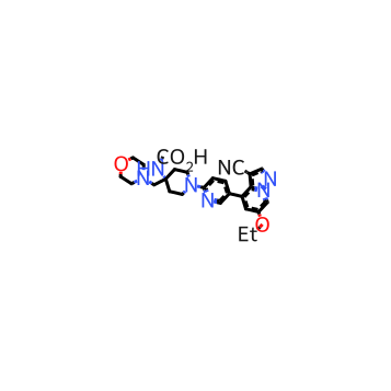 CCOc1cc(-c2ccc(N3CCC(CN4CCOCC4)(NC(=O)O)CC3)nc2)c2c(C#N)cnn2c1